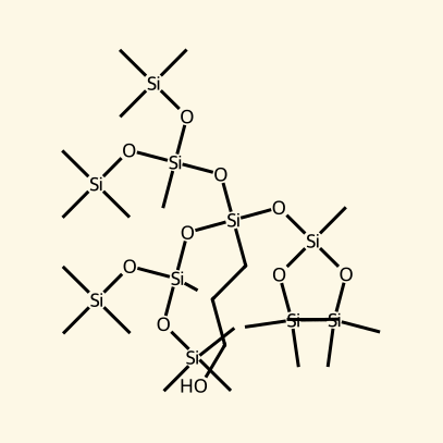 C[Si](C)(C)O[Si](C)(O[Si](C)(C)C)O[Si](CCCO)(O[Si](C)(O[Si](C)(C)C)O[Si](C)(C)C)O[Si](C)(O[Si](C)(C)C)O[Si](C)(C)C